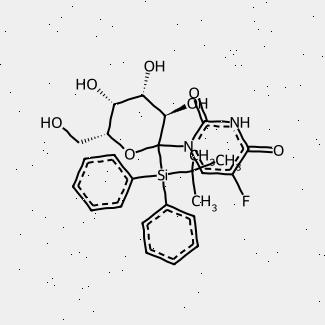 CC(C)(C)[Si](c1ccccc1)(c1ccccc1)C1(n2cc(F)c(=O)[nH]c2=O)O[C@H](CO)[C@H](O)[C@H](O)[C@H]1O